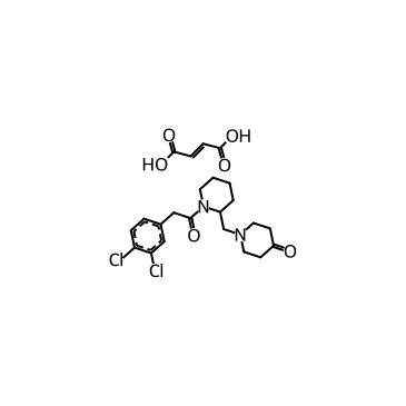 O=C(O)C=CC(=O)O.O=C1CCN(CC2CCCCN2C(=O)Cc2ccc(Cl)c(Cl)c2)CC1